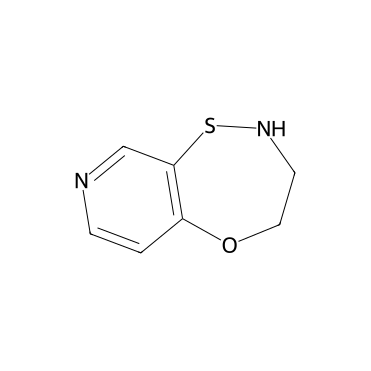 c1cc2c(cn1)SNCCO2